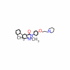 Cc1ccccc1-c1ccc2nc(C)n(-c3ccc(OCCCN4CCCCC4)cc3)c(=O)c2c1